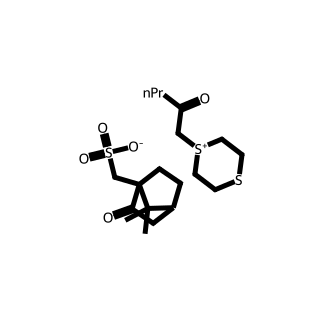 CC1(C)C2CCC1(CS(=O)(=O)[O-])C(=O)C2.CCCC(=O)C[S+]1CCSCC1